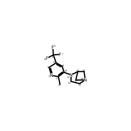 Cc1ncc(C(F)(F)F)cc1N1CCN2CC1C2